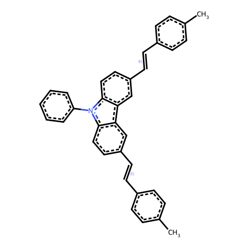 Cc1ccc(/C=C/c2ccc3c(c2)c2cc(/C=C/c4ccc(C)cc4)ccc2n3-c2ccccc2)cc1